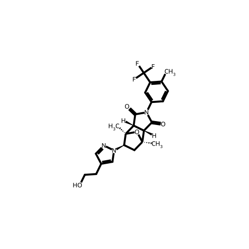 Cc1ccc(N2C(=O)[C@@H]3[C@H](C2=O)[C@@]2(C)C[C@@H](n4cc(CCO)cn4)[C@]3(C)O2)cc1C(F)(F)F